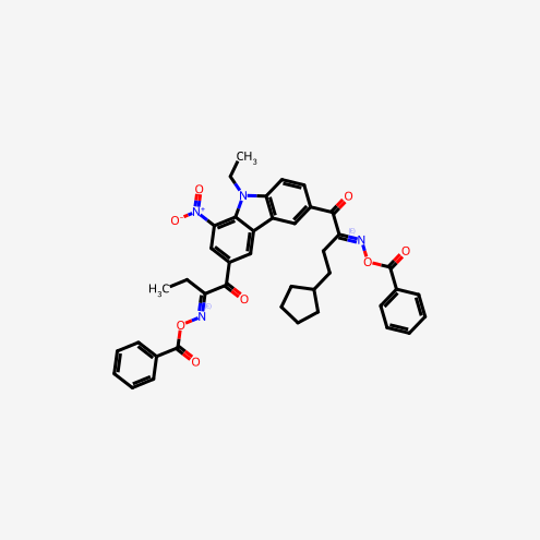 CC/C(=N\OC(=O)c1ccccc1)C(=O)c1cc([N+](=O)[O-])c2c(c1)c1cc(C(=O)/C(CCC3CCCC3)=N/OC(=O)c3ccccc3)ccc1n2CC